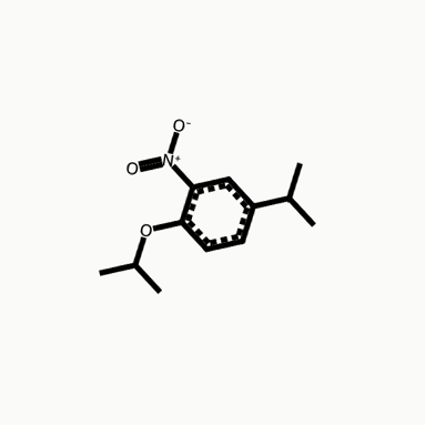 C[C](C)c1ccc(OC(C)C)c([N+](=O)[O-])c1